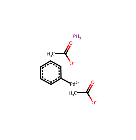 CC(=O)[O-].CC(=O)[O-].P.[Pd+2][c]1ccccc1